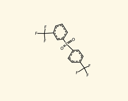 O=S(=O)(c1ccc(C(F)(F)F)cc1)c1cccc(C(F)(F)F)c1